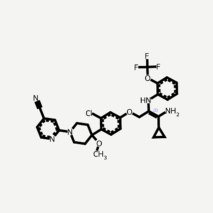 COC1(c2ccc(OC/C(Nc3ccccc3OC(F)(F)F)=C(/N)C3CC3)cc2Cl)CCN(c2cc(C#N)ccn2)CC1